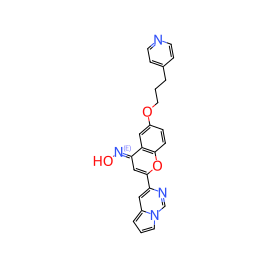 O/N=c1\cc(-c2cc3cccn3cn2)oc2ccc(OCCCc3ccncc3)cc12